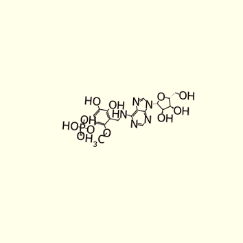 COc1c(OP(=O)(O)O)cc(O)c(O)c1CNc1ncnc2c1ncn2[C@@H]1O[C@H](CO)[C@@H](O)[C@H]1O